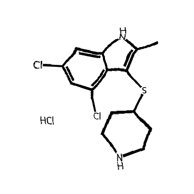 Cc1[nH]c2cc(Cl)cc(Cl)c2c1SC1CCNCC1.Cl